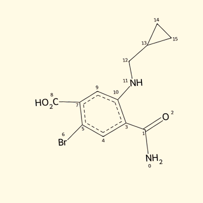 NC(=O)c1cc(Br)c(C(=O)O)cc1NCC1CC1